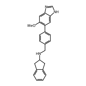 COc1cc2nc[nH]c2cc1-c1ccc(CNC2Cc3ccccc3C2)cc1